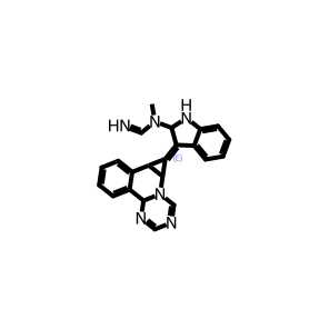 CN(C=N)C1Nc2ccccc2/C1=C1/C2c3ccccc3C3N=CN=CN3C12